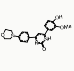 COc1cc(-c2cc(-c3ccc(N4CCOCC4)cc3)nc(=O)[nH]2)ccc1O